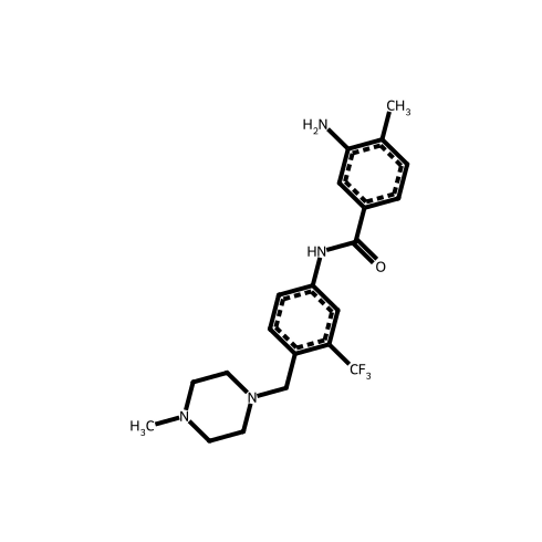 Cc1ccc(C(=O)Nc2ccc(CN3CCN(C)CC3)c(C(F)(F)F)c2)cc1N